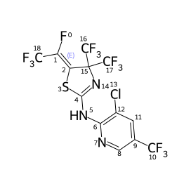 F/C(=C1/SC(Nc2ncc(C(F)(F)F)cc2Cl)=NC1(C(F)(F)F)C(F)(F)F)C(F)(F)F